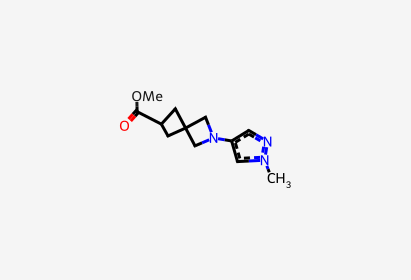 COC(=O)C1CC2(C1)CN(c1cnn(C)c1)C2